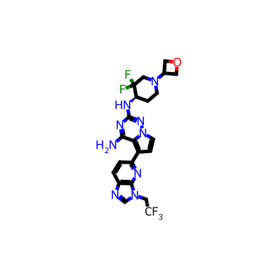 Nc1nc(N[C@@H]2CCN(C3COC3)CC2(F)F)nn2ccc(-c3ccc4ncn(CC(F)(F)F)c4n3)c12